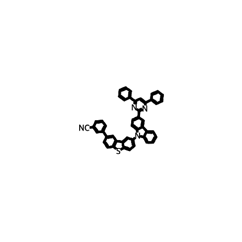 N#Cc1cccc(-c2ccc3sc4ccc(-n5c6ccccc6c6cc(-c7nc(-c8ccccc8)cc(-c8ccccc8)n7)ccc65)cc4c3c2)c1